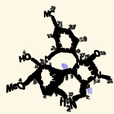 C=c1cc(OC)c(O)c/c1=c1/c(=C\N)n(C)c(=O)n1-c1ccc(C#N)cc1F